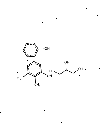 Cc1cccc(O)c1C.OCC(O)CO.Oc1ccccc1